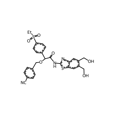 CCS(=O)(=O)c1ccc(C(OCc2ccc(C#N)cc2)C(=O)Nc2nc3cc(CO)c(CO)cc3s2)cc1